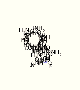 CCN(CC)CCNC(=O)c1c(C)[nH]c(/C=C2\C(=O)N(COC(=O)N[C@@H](CCN)C(=O)N[C@H](C(=O)N[C@@H](CCN)C(=O)N[C@H]3CCNC(=O)[C@H]([C@@H](C)O)NC(=O)[C@H](CCN)NC(=O)[C@H](CCN)NC(=O)[C@H](CC(C)C)NC(=O)[C@@H](Cc4ccccc4)NC(=O)[C@H](CCN)NC3=O)[C@@H](C)O)c3ccc(F)cc32)c1C